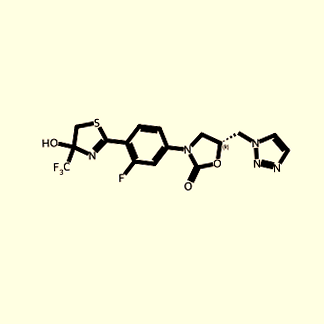 O=C1O[C@@H](Cn2ccnn2)CN1c1ccc(C2=NC(O)(C(F)(F)F)CS2)c(F)c1